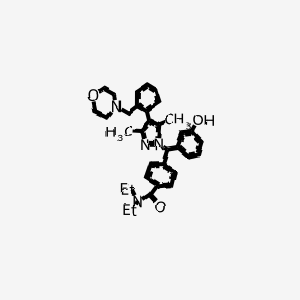 CCN(CC)C(=O)c1ccc(C(c2cccc(O)c2)n2nc(C)c(-c3ccccc3CN3CCOCC3)c2C)cc1